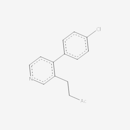 CC(=O)CCc1cnccc1-c1ccc(Cl)cc1